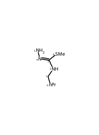 CCCCNC(=NN)SC